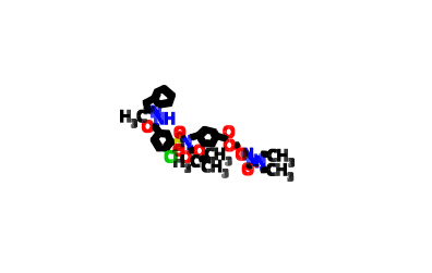 CCN(CC)[N+]([O-])=NOCOC(=O)c1ccc(CN(C(=O)OC(C)(C)C)S(=O)(=O)c2cc(C(=O)NN3c4ccccc4C[C@H]3C)ccc2Cl)cc1